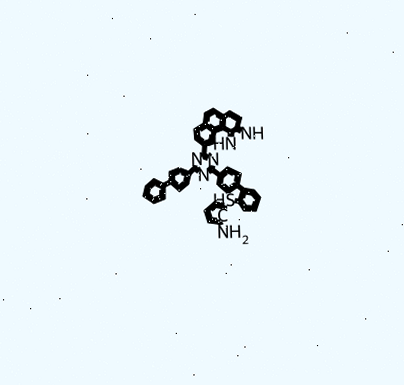 N=C1C=Cc2ccc3ccc(-c4nc(-c5ccc(-c6ccccc6)cc5)nc(-c5ccc6c(c5)[SH](c5cccc(N)c5)c5ccccc5-6)n4)cc3c2C1=N